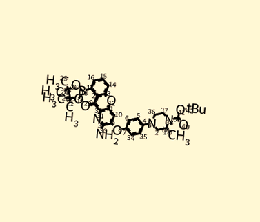 C[C@H]1CN(c2ccc(Oc3cc4oc5cccc(B6OC(C)(C)C(C)(C)O6)c5c(=O)c4nc3N)cc2)CCN1C(=O)OC(C)(C)C